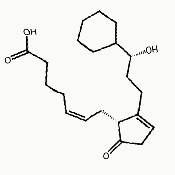 O=C(O)CCC/C=C\C[C@H]1C(=O)CC=C1CC[C@@H](O)C1CCCCC1